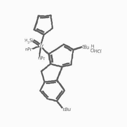 CC[CH2][Zr](=[SiH2])([CH2]CC)([C]1=CC=CC1)[c]1cc(C(C)(C)C)cc2c1Cc1ccc(C(C)(C)C)cc1-2.Cl.Cl